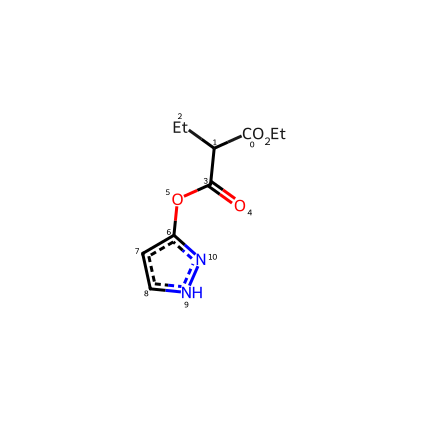 CCOC(=O)C(CC)C(=O)Oc1cc[nH]n1